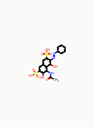 CC(=O)Nc1c(O)c(S(=O)(=O)O)cc2cc(S(=O)(=O)O)c(/N=N/c3ccccc3)c(O)c12